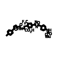 Cc1ccc(-c2ccc(C(=O)NC(Cc3ccc(-c4noc(-c5ccc(NC(=O)OC(C)(C)C)cc5)n4)cc3C(F)(F)F)C(=O)O)o2)cc1